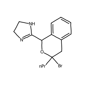 CCCC1(Br)Cc2ccccc2C(C2=NCCN2)O1